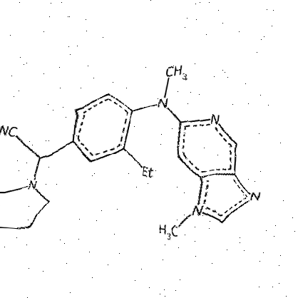 CCc1cc(C(C#N)N2CCC(F)C2)ccc1N(C)c1cc2c(cn1)ncn2C